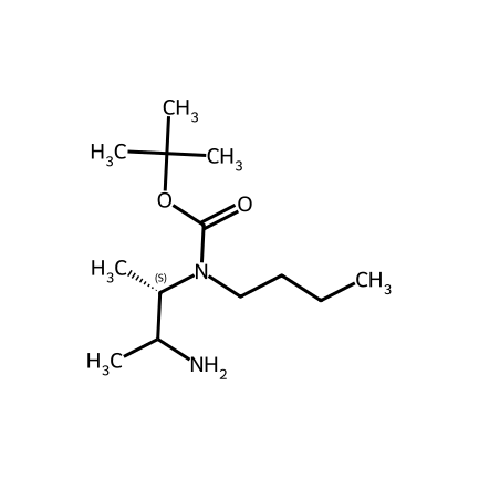 CCCCN(C(=O)OC(C)(C)C)[C@@H](C)C(C)N